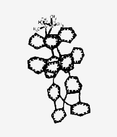 C[Si](C)(C)c1ccc(-c2c3ccccc3c(-c3ccc4c(c3)C3(c5ccccc5-4)c4ccccc4-c4ccc(-c5c6ccccc6c(-c6ccc([Si](C)(C)C)c7ccccc67)c6ccccc56)cc43)c3ccccc23)c2ccccc12